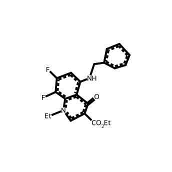 CCOC(=O)c1cn(CC)c2c(F)c(F)cc(NCc3ccccc3)c2c1=O